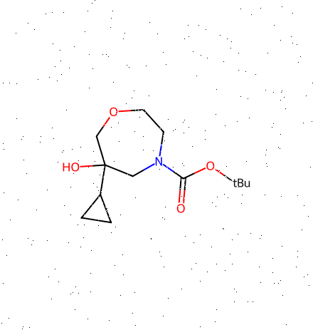 CC(C)(C)OC(=O)N1CCOCC(O)(C2CC2)C1